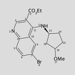 CCOC(=O)c1cnc2ccc(Br)cc2c1N[C@H]1CCC(OC)C1